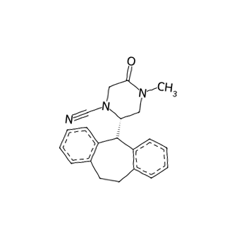 CN1C[C@H](C2c3ccccc3CCc3ccccc32)N(C#N)CC1=O